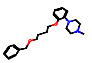 CN1CCN(c2ccccc2OCCCCOCc2ccccc2)CC1